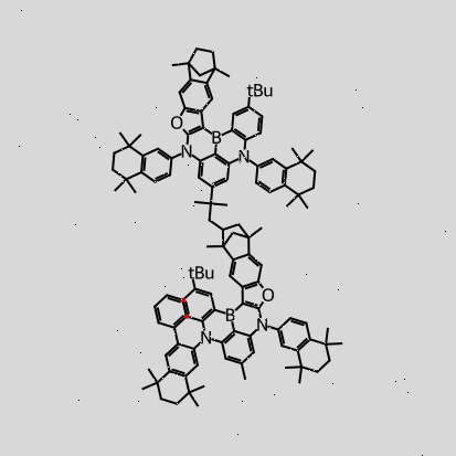 Cc1cc2c3c(c1)N(c1ccc4c(c1)C(C)(C)CCC4(C)C)c1oc4cc5c(cc4c1B3c1cc(C(C)(C)C)ccc1N2c1cc2c(cc1-c1ccccc1)C(C)(C)CCC2(C)C)C1(C)CC5(C)CC1CC(C)(C)c1cc2c3c(c1)N(c1ccc4c(c1)C(C)(C)CCC4(C)C)c1oc4cc5c(cc4c1B3c1cc(C(C)(C)C)ccc1N2c1ccc2c(c1)C(C)(C)CCC2(C)C)C1(C)CCC5(C)C1